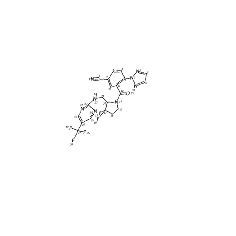 N#Cc1ccc(-n2nccn2)c(C(=O)N2CCC(F)(F)C2CNc2ncc(C(F)(F)F)cn2)c1